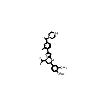 COc1ccc(C2CC(C(F)F)n3nc(-c4ccc(C(=O)N5CCNCC5)cc4C)cc3N2)cc1OC